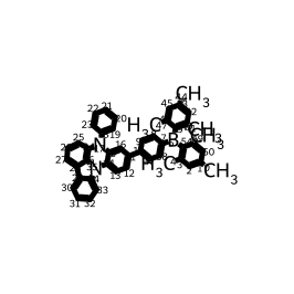 Cc1cc(C)c(B(c2ccc(-c3ccc4c(c3)N(c3ccccc3)c3cccc5c6ccccc6n-4c35)cc2)c2c(C)cc(C)cc2C)c(C)c1